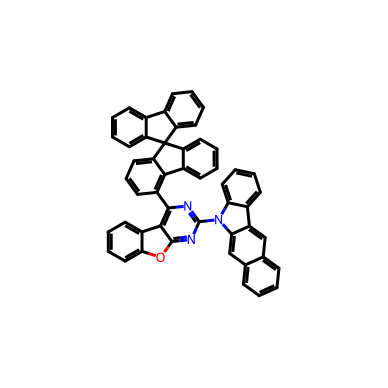 c1ccc2c(c1)-c1ccccc1C21c2ccccc2-c2c(-c3nc(-n4c5ccccc5c5cc6ccccc6cc54)nc4oc5ccccc5c34)cccc21